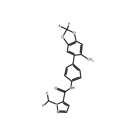 Cc1cc2c(cc1-c1ccc(NC(=O)c3ccnn3C(F)F)cc1)OC(F)(F)O2